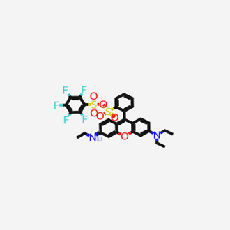 CC/N=c1\ccc2c(-c3ccccc3S(=O)(=O)OS(=O)(=O)c3c(F)c(F)c(F)c(F)c3F)c3ccc(N(CC)CC)cc3oc-2c1